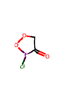 O=C1COOP1Cl